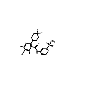 Cc1nc(C2CCC(F)(F)CC2)c(C(=O)Nc2ccnc(S(N)(=O)=O)c2)c(C)c1Cl